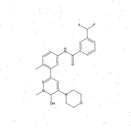 Cc1ccc(NC(=O)c2cccc(C(F)F)c2)cc1C1=NN(C)C(O)C(N2CCOCC2)=C1